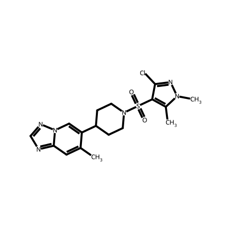 Cc1cc2ncnn2cc1C1CCN(S(=O)(=O)c2c(Cl)nn(C)c2C)CC1